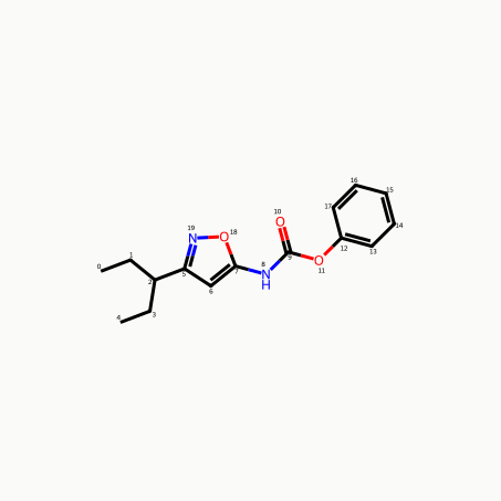 CCC(CC)c1cc(NC(=O)Oc2ccccc2)on1